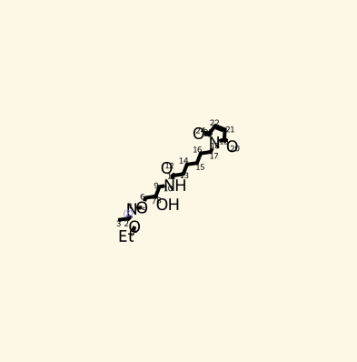 CCO/C(C)=N\OCC(O)CNC(=O)CCCCCN1C(=O)C=CC1=O